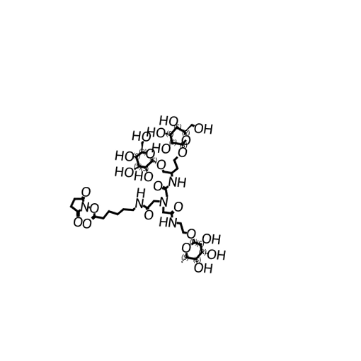 C[C@@H]1O[C@@H](OCCNC(=O)CN(CC(=O)NCCCCCC(=O)ON2C(=O)CCC2=O)CC(=O)NC(CCO[C@H]2O[C@H](CO)[C@@H](O)[C@H](O)[C@@H]2O)CO[C@H]2O[C@H](CO)[C@@H](O)[C@H](O)[C@@H]2O)[C@@H](O)[C@H](O)[C@@H]1O